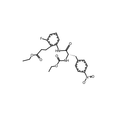 CCOC(=O)CCc1c(F)cccc1NC(=O)[C@H](Cc1ccc([N+](=O)[O-])cc1)NC(=O)OCC